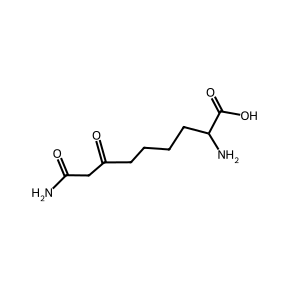 NC(=O)CC(=O)CCCCC(N)C(=O)O